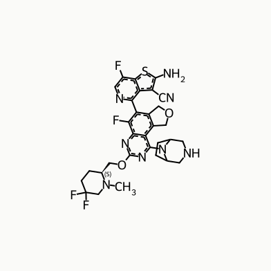 CN1CC(F)(F)CC[C@H]1COc1nc(N2C3CCC2CNC3)c2c3c(c(-c4ncc(F)c5sc(N)c(C#N)c45)c(F)c2n1)COC3